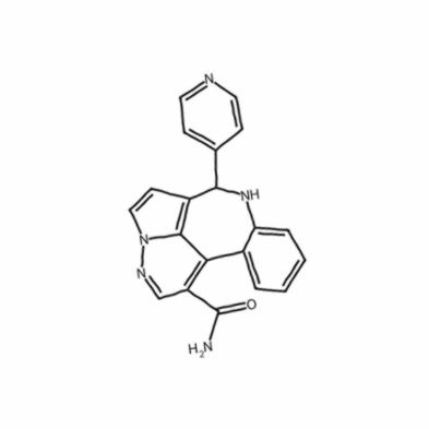 NC(=O)c1cnn2ccc3c2c1-c1ccccc1NC3c1ccncc1